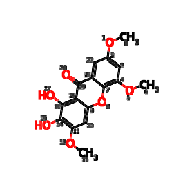 COc1cc(OC)c2oc3cc(OC)c(O)c(O)c3c(=O)c2c1